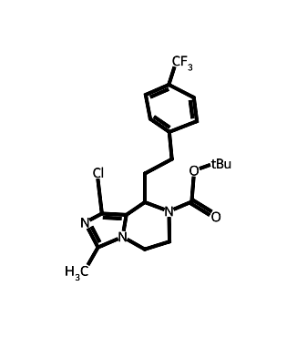 Cc1nc(Cl)c2n1CCN(C(=O)OC(C)(C)C)C2CCc1ccc(C(F)(F)F)cc1